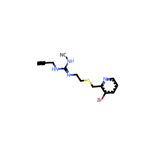 C#CCN/C(=N/CCSCc1ncccc1Br)NC#N